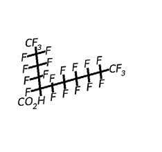 O=C(O)C(F)(C(F)(F)C(F)(F)C(F)(F)C(F)(F)F)C(F)(F)C(F)(F)C(F)(F)C(F)(F)C(F)(F)C(F)(F)F